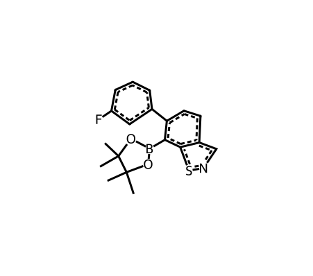 CC1(C)OB(c2c(-c3cccc(F)c3)ccc3cnsc23)OC1(C)C